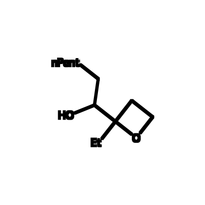 CCCCCCC(O)C1(CC)CCO1